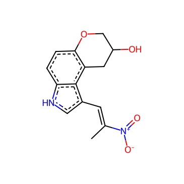 C/C(=C\c1c[nH]c2ccc3c(c12)CC(O)CO3)[N+](=O)[O-]